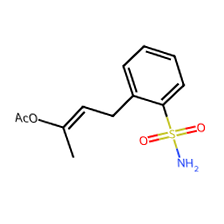 CC(=O)OC(C)=CCc1ccccc1S(N)(=O)=O